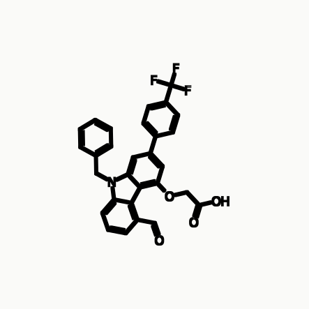 O=Cc1cccc2c1c1c(OCC(=O)O)cc(-c3ccc(C(F)(F)F)cc3)cc1n2Cc1ccccc1